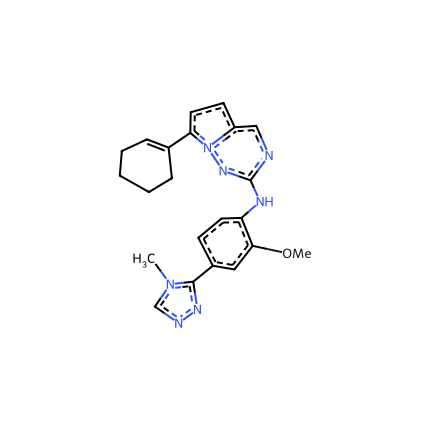 COc1cc(-c2nncn2C)ccc1Nc1ncc2ccc(C3=CCCCC3)n2n1